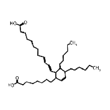 CCCCCCC1C=CC(CCCCCCCC(=O)O)C(C=CC=CCCCCCCCC(=O)O)C1CCCCCC